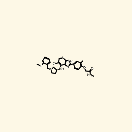 CNC(=O)COc1ccc(-c2nc3c(N[C@H]4CCN(Cc5ccccc5OC)C4)c(Cl)cnc3[nH]2)cc1C